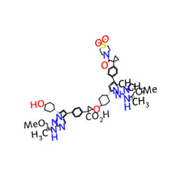 C=N/C(=N\n1c(C)c(-c2ccc(C3(C(=O)N4CCS(=O)(=O)CC4)CC3)cc2)cc1[C@H]1CC[C@H](OC2CC2(C(=O)O)c2ccc(-c3cc([C@H]4CC[C@H](O)CC4)n4nc(N[C@@H](C)COC)ncc34)cc2)CC1)N[C@@H](C)COC